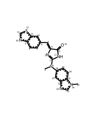 CN(C1=NC(=Cc2ccc3ncsc3c2)C(=O)N1)c1ccc2c(c1)ncn2C